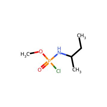 CCC(C)NP(=O)(Cl)OC